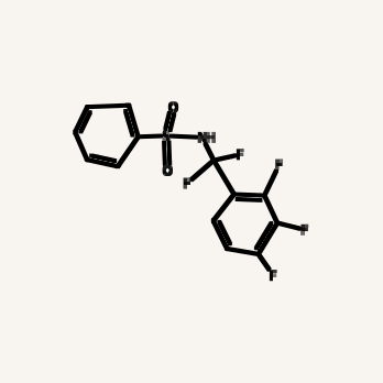 O=S(=O)(NC(F)(F)c1ccc(F)c(F)c1F)c1ccccc1